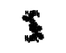 CC(C)(C)c1ccc(N(c2ccc(-c3ccc4c(c3)C3(c5ccccc5Oc5ccccc53)c3c-4c4ccccc4c4cc(N(c5ccc(C(C)(C)C)cc5)c5ccc6ccccc6c5)ccc34)cc2)c2ccc3ccccc3c2)cc1